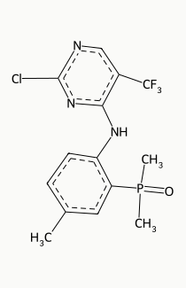 Cc1ccc(Nc2nc(Cl)ncc2C(F)(F)F)c(P(C)(C)=O)c1